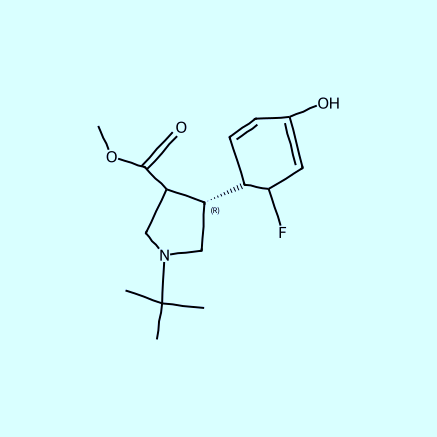 COC(=O)C1CN(C(C)(C)C)C[C@H]1C1C=CC(O)=CC1F